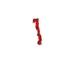 C[C@@H]1CN(c2ncc(-c3ccc4c(n3)N(Cc3cccnc3C#N)C(C)(C)C4=O)cn2)CCN1C(=O)Cn1cc(COCCOCCOCC(=O)N2CCC(Oc3cccc(Oc4ccc(C(=O)ON5C(=O)CCC5=O)cn4)c3)CC2)nn1